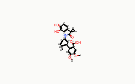 COc1cc(C(=O)O)c(-c2cc(NC(=O)C3(c4ccc(O)c(O)c4)CC3)ccc2C)cc1OC